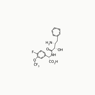 N[C@H](Cc1ccccc1)[C@H](O)C(=O)N[C@H](C(=O)O)c1ccc(F)c(OC(F)(F)F)c1